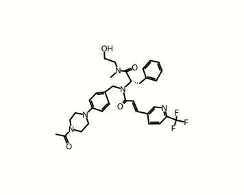 CC(=O)N1CCN(c2ccc(CN(C(=O)/C=C/c3ccc(C(F)(F)F)nc3)[C@@H](Cc3ccccc3)C(=O)N(C)CCO)cc2)CC1